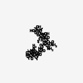 CSCC[C@H](NC(=O)[C@@H](NC(=O)[C@H](CCC(N)=O)NC(=O)[C@H](CC(N)=O)NC(=O)CNC(=O)[C@H](CO)NC(=O)[C@H](CC(N)=O)NC(=O)[C@H](CC(C)C)NC(=O)[C@@H](NC(=O)[C@@H](N)[C@@H](C)O)C(C)C)[C@@H](C)O)C(=O)N[C@@H](CC(C)C)C(=O)N[C@H](C(=O)O)[C@@H](C)O